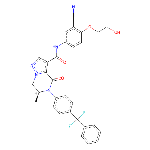 C[C@H]1Cn2ncc(C(=O)Nc3ccc(OCCO)c(C#N)c3)c2C(=O)N1c1ccc(C(F)(F)c2ccccc2)cc1